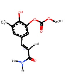 CCCCCCCCOC(=O)Oc1cc(/C=C(\C#N)C(=O)N(CC)CC)cc([N+](=O)[O-])c1O